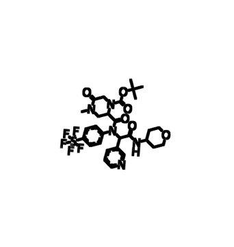 CN1CC(C(=O)N(c2ccc(S(F)(F)(F)(F)F)cc2)C(C(=O)NC2CCOCC2)c2cccnc2)N(C(=O)OC(C)(C)C)CC1=O